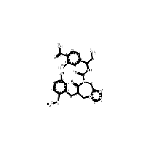 CCC(NC(=O)N1Cc2nncn2CC(Cc2cc(Cl)ccc2OC)C1=O)c1ccc(C(=O)O)c(N)c1